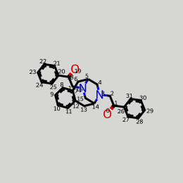 O=C(CN1CC2Cc3ccccc3CC1CN2CC(=O)c1ccccc1)c1ccccc1